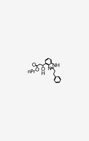 CCCOC(=O)CC(O)c1cccc2[nH]c(CCc3ccccc3)nc12